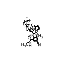 CCNC(=O)c1cc(C#N)cc(C)c1NC(=O)c1cc(OC(F)(F)C(F)OC(F)(F)F)nn1-c1ncccc1Cl